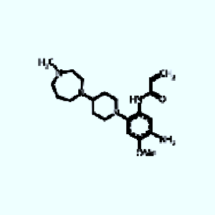 C=CC(=O)Nc1cc(N)c(OC)cc1N1CCC(N2CCCN(C)CC2)CC1